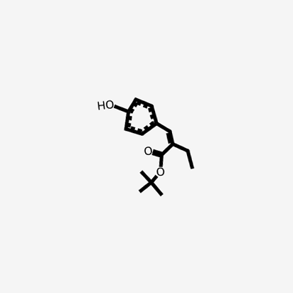 CCC(=Cc1ccc(O)cc1)C(=O)OC(C)(C)C